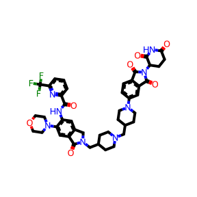 O=C1CCC(N2C(=O)c3ccc(N4CCC(CN5CCC(CN6Cc7cc(NC(=O)c8cccc(C(F)(F)F)n8)c(N8CCOCC8)cc7C6=O)CC5)CC4)cc3C2=O)C(=O)N1